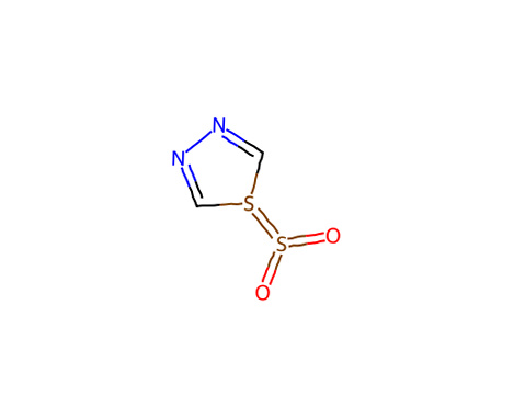 O=S(=O)=S1C=NN=C1